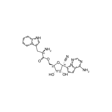 N#C[C@@]1(c2ccc3c(N)ncnn23)O[C@H](COC(=O)[C@H](N)Cc2c[nH]c3ccccc23)[C@@H](O)[C@H]1O